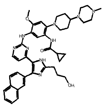 COc1cc(N2CCC(N3CCN(C)CC3)CC2)c(NC(=O)C2CC2)cc1Nc1nccc(-c2[nH]c(CCCO)nc2-c2ccc3ccccc3c2)n1